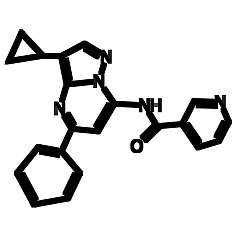 O=C(Nc1cc(-c2ccccc2)nc2c(C3CC3)cnn12)c1cccnc1